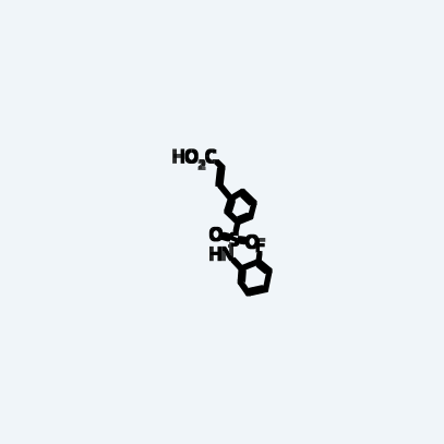 O=C(O)C=Cc1cccc(S(=O)(=O)Nc2ccccc2F)c1